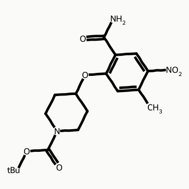 Cc1cc(OC2CCN(C(=O)OC(C)(C)C)CC2)c(C(N)=O)cc1[N+](=O)[O-]